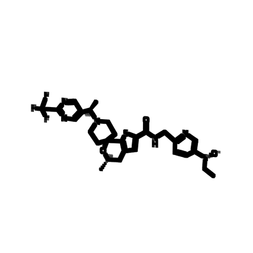 CC[S+]([O-])c1ccc(CNC(=O)c2cc3c(s2)C2(CCN([C@H](C)c4cnc(C(F)(F)F)nc4)CC2)O[C@@H](C)C3)nc1